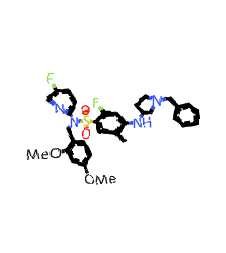 COc1ccc(CN(c2ccc(F)cn2)S(=O)(=O)c2cc(C)c(NC3CCN(Cc4ccccc4)C3)cc2F)c(OC)c1